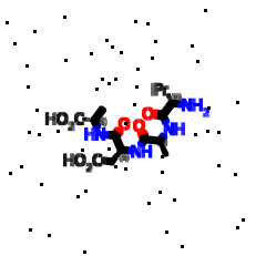 CC(C)[C@H](N)C(=O)N[C@@H](C)C(=O)N[C@@H](CC(=O)O)C(=O)N[C@@H](C)C(=O)O